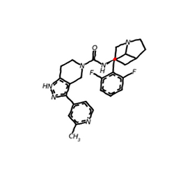 Cc1cc(-c2n[nH]c3c2CN(C(=O)N[C@@H]2CC4CCN(C2)C4Cc2c(F)cccc2F)CC3)ccn1